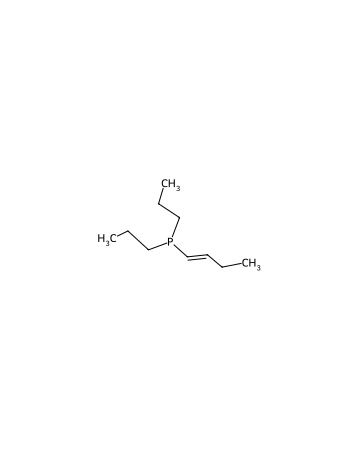 CCC=CP(CCC)CCC